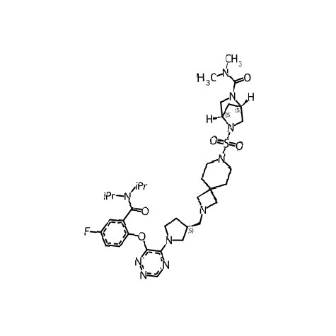 CC(C)N(C(=O)c1cc(F)ccc1Oc1nncnc1N1CC[C@@H](CN2CC3(CCN(S(=O)(=O)N4C[C@@H]5C[C@H]4CN5C(=O)N(C)C)CC3)C2)C1)C(C)C